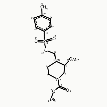 COC1CN(C(=O)OC(C)(C)C)CC[C@H]1COS(=O)(=O)c1ccc(C)cc1